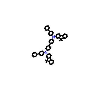 CC1(C)c2ccccc2-c2ccc(N(c3ccc(-c4ccccc4)cc3)c3ccc(-c4ccc(N(c5ccc(C6C=CC=CC6)cc5)c5ccc6c(c5)C(C)(C)c5ccccc5-6)cc4)cc3)cc21